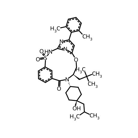 Cc1cccc(C)c1-c1cc2nc(n1)NS(=O)(=O)c1cccc(c1)C(=O)N([C@H]1CC[C@@](O)(CC(C)C)CC1)[C@H](CC(C)(C)C)CO2